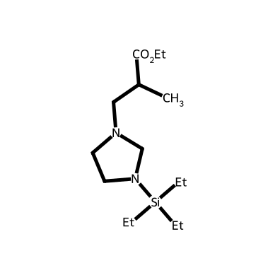 CCOC(=O)C(C)CN1CCN([Si](CC)(CC)CC)C1